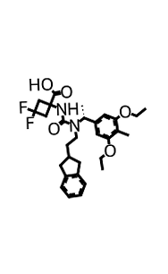 CCOc1cc([C@@H](C)N(CCC2Cc3ccccc3C2)C(=O)NC2(C(=O)O)CC(F)(F)C2)cc(OCC)c1C